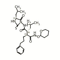 CC(C)C[C@@H]1NC(=S)N(NC(=O)[C@H](CC(C)C)[C@H](CCCc2ccccc2)C(=O)NOC2CCCCO2)C1=O